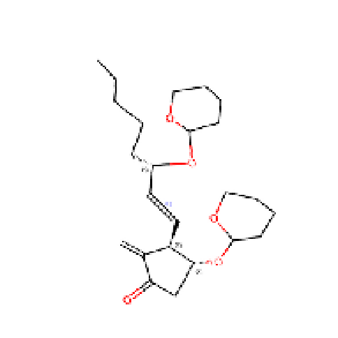 C=C1C(=O)C[C@@H](OC2CCCCO2)[C@@H]1/C=C/[C@H](CCCCC)OC1CCCCO1